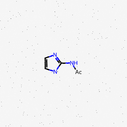 CC(=O)NC1=NC=C[N]1